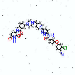 N#Cc1ccc(O[C@H]2CC[C@H](C(=O)Nc3ccc(N4CCC(CN5CCN(c6ccc7c(c6)C(=O)N(C6CCC(=O)NC6=O)C7)CC5)CC4)nn3)C2)cc1Cl